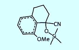 COc1cccc2c1C(C#N)(O[Si](C)(C)C)CCC2